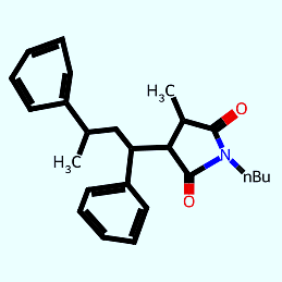 CCCCN1C(=O)C(C)C(C(CC(C)c2ccccc2)c2ccccc2)C1=O